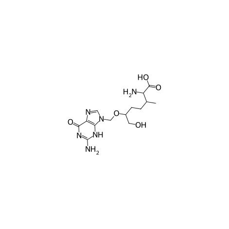 CC(CCC(CO)OCn1cnc2c(=O)nc(N)[nH]c21)C(N)C(=O)O